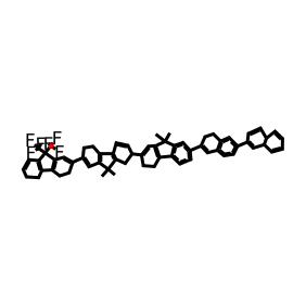 CC1(C)C2=C(CCC(C3=CC4=C(CC3)C3=C(C=CCC3)C4(C(F)(F)F)C(F)(F)F)=C2)C2=C1CC(C1=CC3=C(CC1)c1ccc(C4=Cc5ccc(C6=CC7C=CC=CC7C=C6)cc5CC4)cc1C3(C)C)C=C2